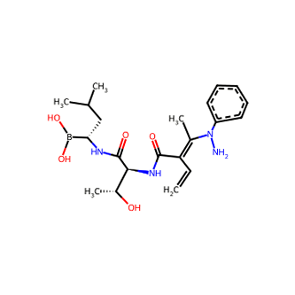 C=C/C(C(=O)N[C@H](C(=O)N[C@@H](CC(C)C)B(O)O)[C@@H](C)O)=C(/C)N(N)c1ccccc1